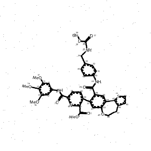 COC(=O)c1nc(C(=O)Nc2cc(OC)c(OC)c(OC)c2)ccc1-c1cc2c(cc1C(=O)Nc1ccc(CNC(=O)OC(C)(C)C)cc1)-c1sccc1CCO2